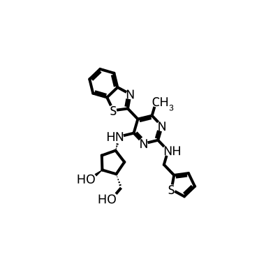 Cc1nc(NCc2cccs2)nc(N[C@@H]2C[C@H](CO)[C@@H](O)C2)c1-c1nc2ccccc2s1